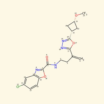 C=C(CCNC(=O)c1nc2cc(Cl)ccc2o1)c1nnc([C@H]2C[C@@H](OC(F)(F)F)C2)o1